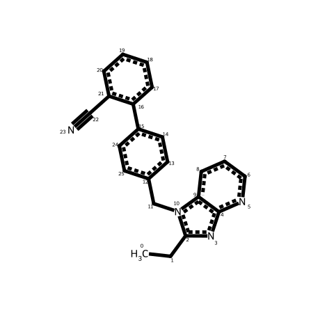 CCc1nc2ncccc2n1Cc1ccc(-c2ccccc2C#N)cc1